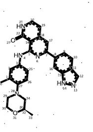 Cc1cc(Nc2nc(-c3ccc4cn[nH]c4c3)cc3cc[nH]c(=O)c23)ccc1N1CCO[C@H](C)C1